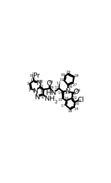 CC(C)c1ccn2nc(N)c(C(=O)N[C@@H](C)c3cc4cccc(Cl)c4c(=O)n3-c3ccccc3)c2n1